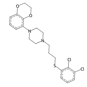 Clc1cccc(SCCCN2CCN(c3cccc4c3OCCO4)CC2)c1Cl